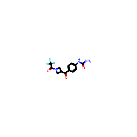 NC(=O)Nc1ccc(C(=O)C2CN(C(=O)C(F)(F)F)C2)cc1